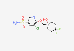 NS(=O)(=O)c1cnc(OCC2(O)CCC(F)(F)CC2)c(Cl)c1